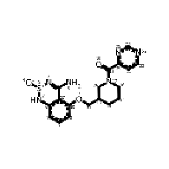 NC1=N[S+]([O-])Nc2cccc(OCC3CCCN(C(=O)c4ccncn4)C3)c21